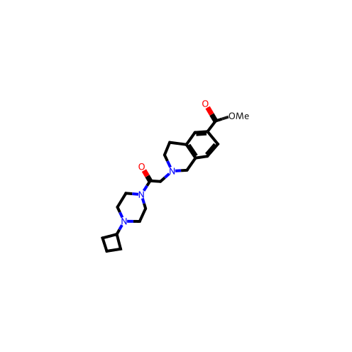 COC(=O)c1ccc2c(c1)CCN(CC(=O)N1CCN(C3CCC3)CC1)C2